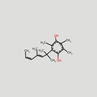 C/C=C\C(C)=C\C(C)(C)c1c(C)c(O)c(C)c(C)c1O